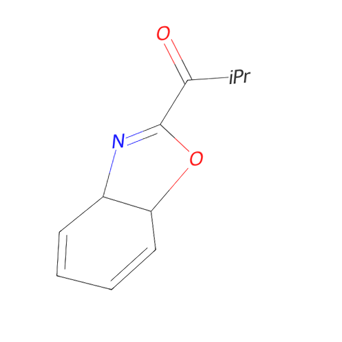 CC(C)C(=O)C1=NC2C=CC=CC2O1